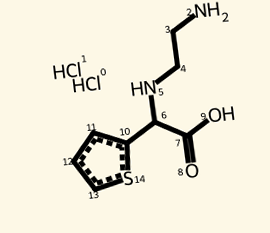 Cl.Cl.NCCNC(C(=O)O)c1cccs1